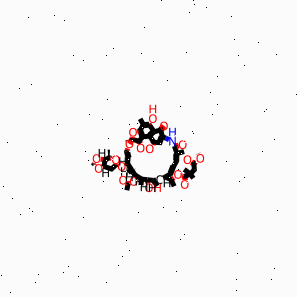 COC(=O)CC(C)(C)C(=O)OC(C)[C@H]1/C=C/C=C(/C)C(=O)NC2=CC(=O)c3c(c(O)c(C)c4c3C(=O)[C@@](C)(O/C=C/[C@H](O[C@H]3C[C@@H]5OCO[C@@H]5[C@@H](C)O3)[C@@H](C)[C@@H](OC(C)=O)[C@H](C)[C@H](O)[C@H](C)C1)O4)C2=O